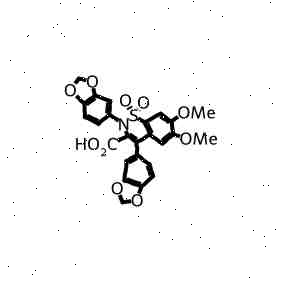 COc1cc2c(cc1OC)S(=O)(=O)N(c1ccc3c(c1)OCO3)C(C(=O)O)=C2c1ccc2c(c1)OCO2